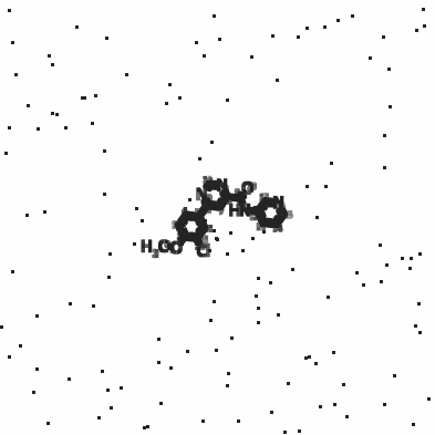 COc1ccc(-c2cc(C(=O)Nc3cccnc3)ncn2)cc1Cl